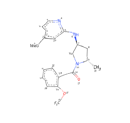 COc1ccnc(N[C@H]2C[C@H](C)N(C(=O)c3ccccc3OC(F)(F)F)C2)c1